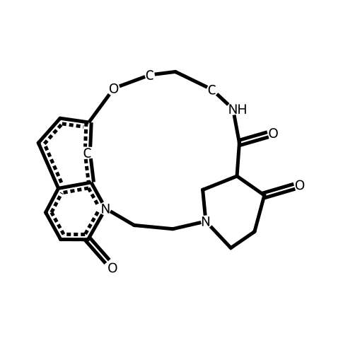 O=C1CCN2CCn3c(=O)ccc4ccc(cc43)OCCCNC(=O)C1C2